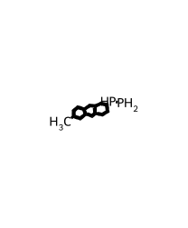 Cc1ccc2cc3cc(PP)ccc3cc2c1